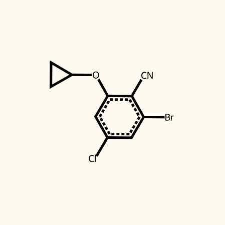 N#Cc1c(Br)cc(Cl)cc1OC1CC1